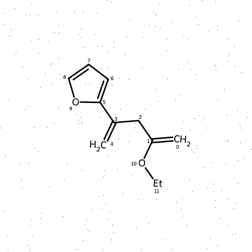 C=C(CC(=C)c1ccco1)OCC